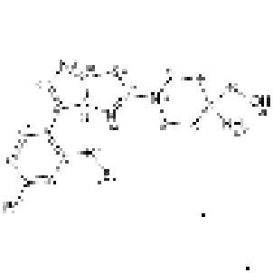 CCOc1nc(C(C)C)ccc1-c1cnc2sc(N3CCC(N)(CO)CC3)nn12